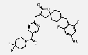 Nc1cc(F)c(CN2CCC3(CC2)CN(Cc2ccc(C(=O)N4CCC(F)(F)CC4)cn2)C(=O)O3)c(F)c1